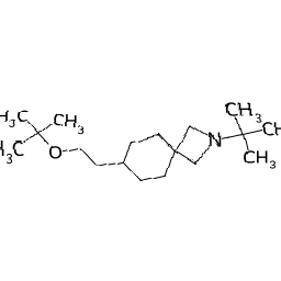 CC(C)(C)OCCC1CCC2(CC1)CN(C(C)(C)C)C2